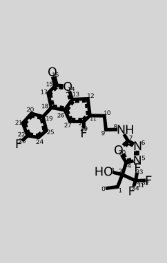 CCC(O)(c1nnc(NCCc2cc3oc(=O)cc(-c4ccc(F)cc4)c3cc2F)o1)C(F)(F)F